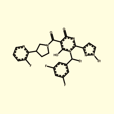 CCC(c1cc(F)cc(F)c1)n1c(-c2ccn(CC)n2)nc(=O)c(C(=O)N2CCC(c3ncccc3F)C2)c1O